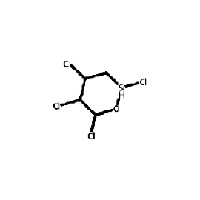 ClC1C[SiH](Cl)OC(Cl)C1Cl